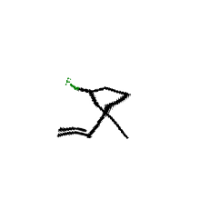 C=CC1(C)CC1F